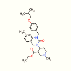 CCOC(=O)C1CN(C)CCC1N(Cc1ccc(C)cc1)C(=O)NCc1ccc(OCC(C)C)cc1